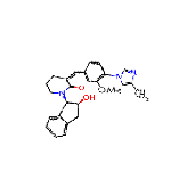 COc1cc(C=C2CCCN([C@@H]3c4ccccc4C[C@@H]3O)C2=O)ccc1-n1cnc(C)c1